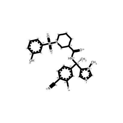 Cn1cncc1[C@](C)(NC(=O)C1CCCN(S(=O)(=O)c2cccc(O)c2)C1)c1ccc(C#N)c(F)c1